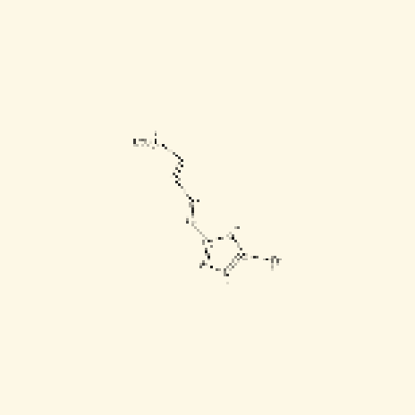 CCOC(=O)C=CC=Cc1cnc(C(C)C)s1